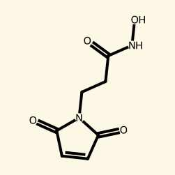 O=C(CCN1C(=O)C=CC1=O)NO